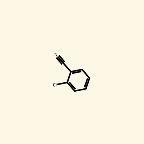 N#Cc1c[c]ccc1Cl